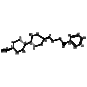 CCC[C@H]1CC[C@H]([C@H]2CC[C@H](CCCOc3ccccc3)CC2)CC1